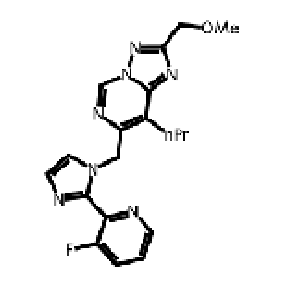 CCCc1c(Cn2ccnc2-c2ncccc2F)ncn2nc(COC)nc12